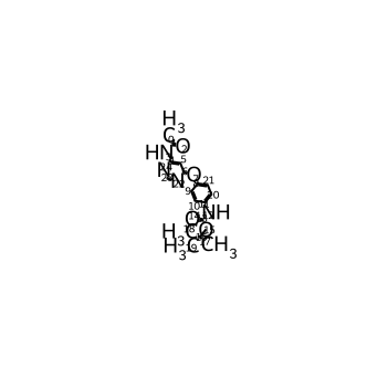 CC(=O)Nc1cc(Oc2ccc(NC(=O)OC(C)(C)C)cc2)ncn1